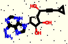 N/N=c1/nc[nH]c2c1ncn2[C@@H]1C[C@H]([C@H](O)C#CC2CC2)[C@@H](O)[C@H]1O